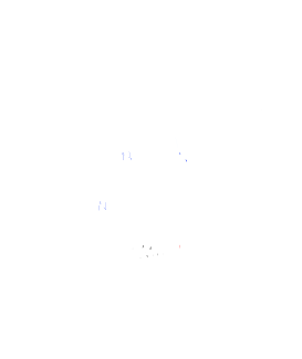 CSc1nc(-c2ccccc2)nc2[nH]c(-c3ccccc3)cc(=O)c12